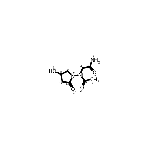 CC(=O)N(CC(N)=O)N1CC(O)CC1=O